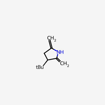 C=C1CC(C(C)(C)C)C(=C)N1